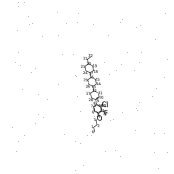 CCCCOc1ccc(C2=CCC(C3CCC(C4CCC(CC)CC4)CC3)CC2)c(Cl)c1F